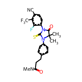 CNC(=O)CCc1ccc(N2C(=S)N(c3ccc(C#N)c(C(F)(F)F)c3F)C(=O)C2(C)C)cc1